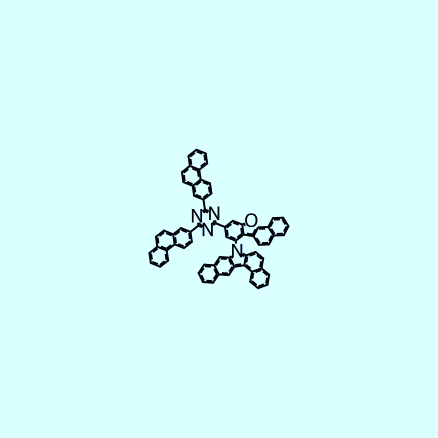 c1ccc2cc3c(cc2c1)c1c2ccccc2ccc1n3-c1cc(-c2nc(-c3ccc4c(ccc5ccccc54)c3)nc(-c3ccc4c(ccc5ccccc54)c3)n2)cc2oc3c4ccccc4ccc3c12